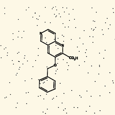 O=C(O)c1nc2ccncc2cc1OCc1ccccc1